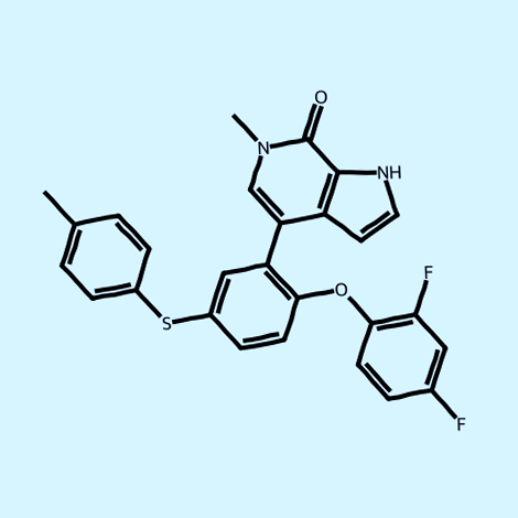 Cc1ccc(Sc2ccc(Oc3ccc(F)cc3F)c(-c3cn(C)c(=O)c4[nH]ccc34)c2)cc1